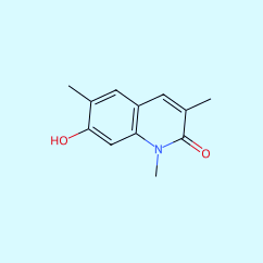 Cc1cc2cc(C)c(=O)n(C)c2cc1O